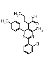 CCCC(C(=O)O)c1c(C)nc(-c2ccccc2Cl)nc1-c1ccc(C)cc1